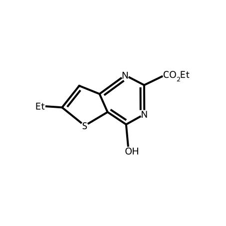 CCOC(=O)c1nc(O)c2sc(CC)cc2n1